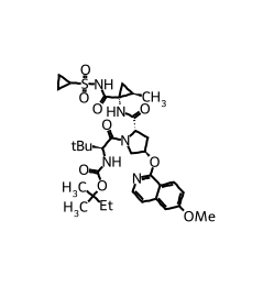 CCC(C)(C)OC(=O)N[C@H](C(=O)N1C[C@H](Oc2nccc3cc(OC)ccc23)C[C@H]1C(=O)N[C@]1(C(=O)NS(=O)(=O)C2CC2)C[C@H]1C)C(C)(C)C